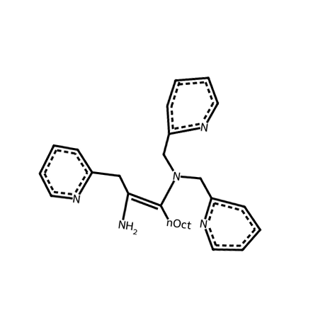 CCCCCCCC/C(=C(\N)Cc1ccccn1)N(Cc1ccccn1)Cc1ccccn1